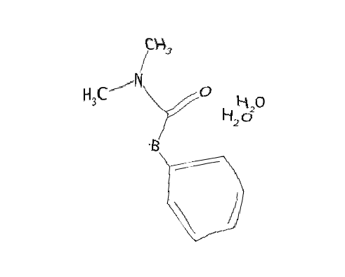 CN(C)C(=O)[B]c1ccccc1.O.O